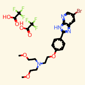 COCCN(CCOC)CCOc1ccc(-c2nc3cc(Br)cnc3[nH]2)cc1.O=C(O)C(F)(F)F.O=C(O)C(F)(F)F